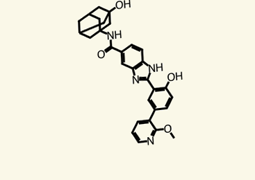 COc1ncccc1-c1ccc(O)c(-c2nc3cc(C(=O)NC45CC6CC(CC(O)(C6)C4)C5)ccc3[nH]2)c1